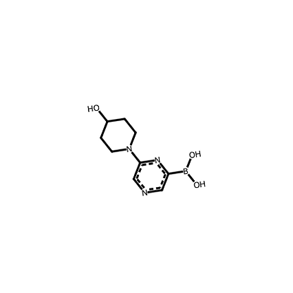 OB(O)c1cncc(N2CCC(O)CC2)n1